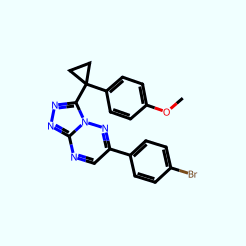 COc1ccc(C2(c3nnc4ncc(-c5ccc(Br)cc5)nn34)CC2)cc1